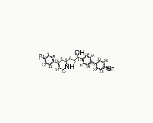 OC(CCC1CC(c2ccc(F)cc2)=CCN1)c1ccc(-c2ccc(Br)cc2)cc1